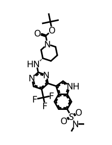 CN(C)S(=O)(=O)c1ccc2c(-c3nc(N[C@H]4CCCN(C(=O)OC(C)(C)C)C4)ncc3C(F)(F)F)c[nH]c2c1